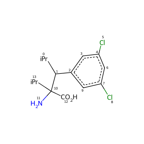 CC(C)C(c1cc(Cl)cc(Cl)c1)C(N)(C(=O)O)C(C)C